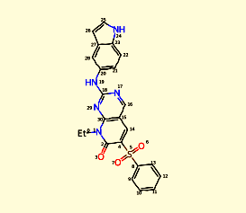 CCn1c(=O)c(S(=O)(=O)c2ccccc2)cc2cnc(Nc3ccc4[nH]ccc4c3)nc21